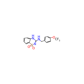 O=S1(=O)N=C(NCc2ccc(OC(F)(F)F)cc2)Nc2ccccc21